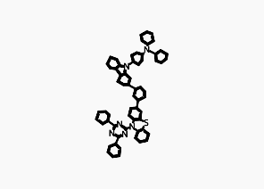 c1ccc(-c2nc(-c3ccccc3)nc(N3c4ccccc4Sc4cc(-c5cccc(-c6ccc7c8ccccc8n(-c8ccc(N(c9ccccc9)c9ccccc9)cc8)c7c6)c5)ccc43)n2)cc1